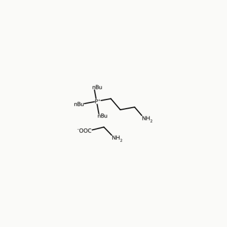 CCCC[P+](CCCC)(CCCC)CCCN.NCC(=O)[O-]